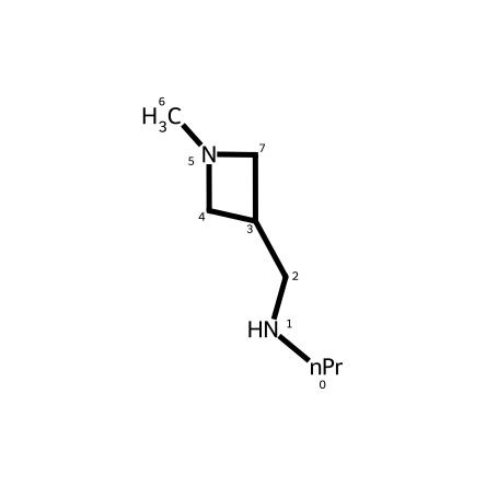 CCCNCC1CN(C)C1